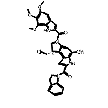 COc1cc2cc(C(=O)N3C[C@@H](CCl)c4c3cc(O)c3[nH]c(C(=O)N5CCc6ccccc65)cc43)[nH]c2c(OC)c1OC